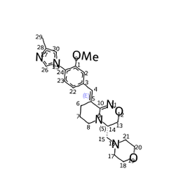 COc1cc(/C=C2\CCCN3C2=NOC[C@@H]3CN2CCOCC2)ccc1-n1cnc(C)c1